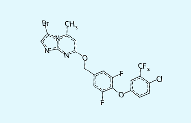 Cc1cc(OCc2cc(F)c(Oc3ccc(Cl)c(C(F)(F)F)c3)c(F)c2)nc2ncc(Br)n12